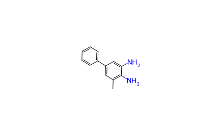 Cc1cc(-c2ccccc2)cc(N)c1N